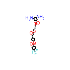 Nc1cc(N)cc(C(=O)OCCCCOC(=O)C=Cc2ccc(OC(=O)c3ccc(C(F)(F)F)cc3)cc2)c1